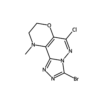 CN1CCOc2c(Cl)nn3c(Br)nnc3c21